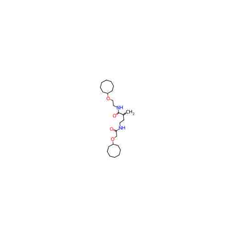 C=C(CCNC(=O)COC1CCCCCCC1)C(=O)NCCOC1CCCCCCC1